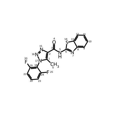 Cc1c(C(=O)Nc2nc3ccccc3s2)nnn1-c1c(F)cccc1F